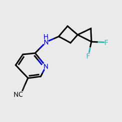 N#Cc1ccc(NC2CC3(C2)CC3(F)F)nc1